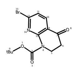 CC(C)(C)OC(=O)N1CCC(=O)c2ccc(Br)nc21